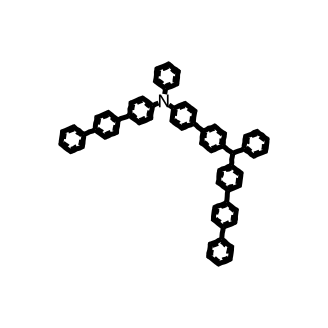 c1ccc(-c2ccc(-c3ccc(C(c4ccccc4)c4ccc(-c5ccc(N(c6ccccc6)c6ccc(-c7ccc(-c8ccccc8)cc7)cc6)cc5)cc4)cc3)cc2)cc1